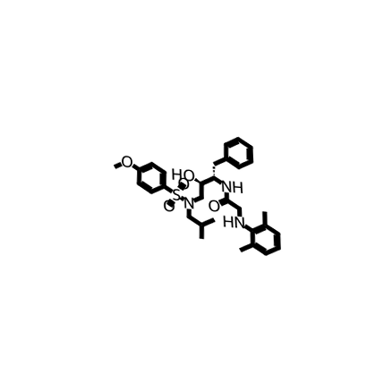 COc1ccc(S(=O)(=O)N(CC(C)C)C[C@@H](O)[C@H](Cc2ccccc2)NC(=O)CNc2c(C)cccc2C)cc1